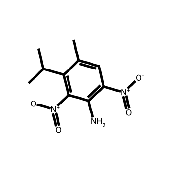 Cc1cc([N+](=O)[O-])c(N)c([N+](=O)[O-])c1C(C)C